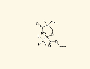 CCOC(=O)C1(C(F)(F)F)NC(=O)C(C)(CC)CO1